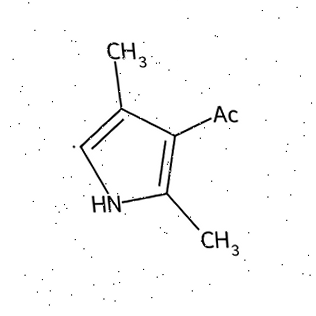 CC(=O)c1c(C)[c][nH]c1C